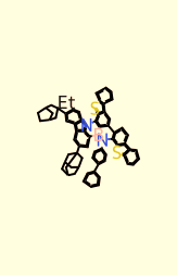 CCC1(c2ccc3c(c2)c2cc(C45CC6CC(CC(C6)C4)C5)cc4c2n3-c2c3c(cc5c2sc2ccccc25)-c2ccc5c(sc6ccccc65)c2N(c2ccc(-c5ccccc5)cc2)B34)CC2CCC(C2)C1